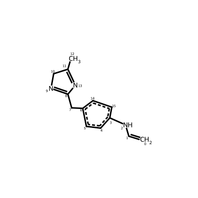 C=CNc1ccc(CC2=NCC(C)=N2)cc1